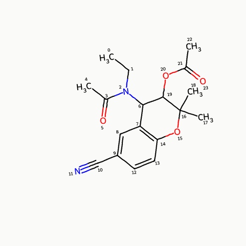 CCN(C(C)=O)C1c2cc(C#N)ccc2OC(C)(C)C1OC(C)=O